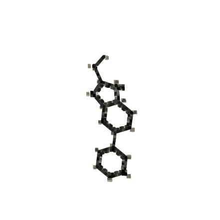 CSc1nc2cc(-c3cccnc3)ccc2[nH]1